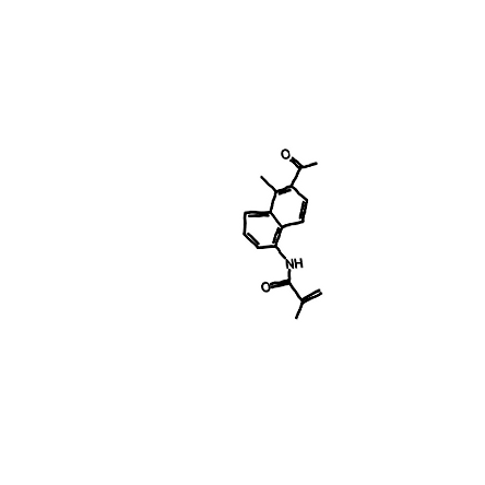 C=C(C)C(=O)Nc1cccc2c(C)c(C(C)=O)ccc12